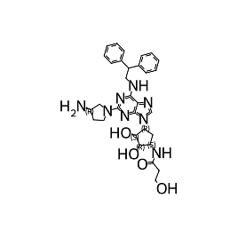 N[C@@H]1CCN(c2nc(NCC(c3ccccc3)c3ccccc3)c3ncn([C@@H]4C[C@H](NC(=O)CCO)[C@@H](O)[C@H]4O)c3n2)C1